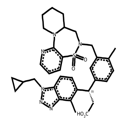 Cc1ccc([C@H](CC(=O)O)c2ccc3c(nnn3CC3CC3)c2C)cc1CN1CC2CCCCN2c2ncccc2S1(=O)=O